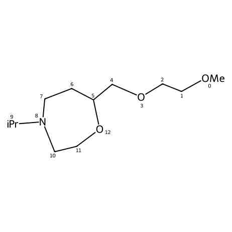 COCCOCC1CCN(C(C)C)CCO1